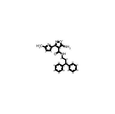 Cc1ccc(-c2noc(N)c2C(=O)NCCC(c2ccccc2)c2ccccc2)s1